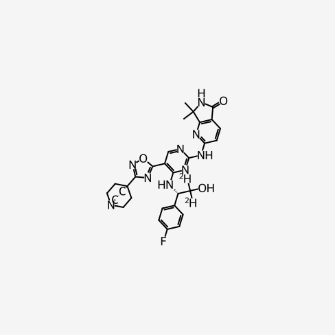 [2H]C([2H])(O)[C@@H](Nc1nc(Nc2ccc3c(n2)C(C)(C)NC3=O)ncc1-c1nc(C23CCN(CC2)CC3)no1)c1ccc(F)cc1